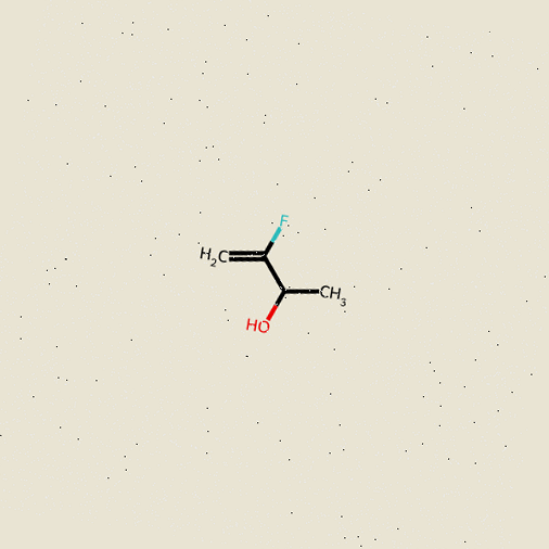 C=C(F)C(C)O